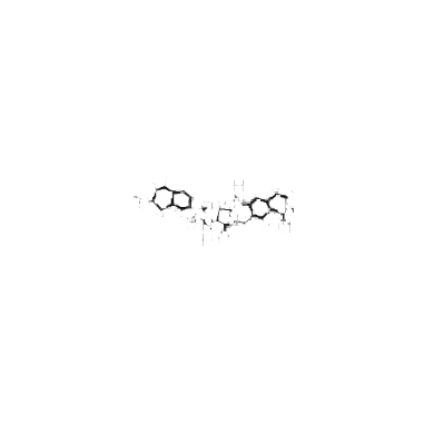 COc1ccc2ccc(S(=O)(=O)N[C@H]3CCN(Cc4cc5c(Cl)nccc5cc4N)C3=O)cc2c1